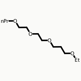 CCCOCCOCCOCCCOCC